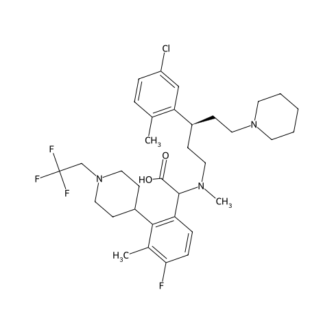 Cc1ccc(Cl)cc1[C@@H](CCN1CCCCC1)CCN(C)C(C(=O)O)c1ccc(F)c(C)c1C1CCN(CC(F)(F)F)CC1